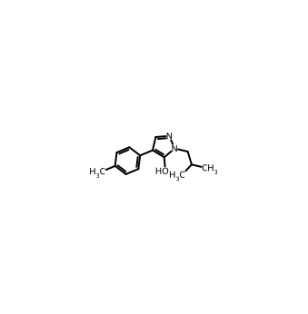 Cc1ccc(-c2cnn(CC(C)C)c2O)cc1